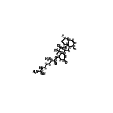 CCC(C)(C)C(=O)O[C@@H]1C[C@H](C)C=C2C=C[C@@H](C)[C@@H](CC[C@@H]3C[C@H](OC(=O)[C@@H](N)CCCNC(=N)N)CC(=O)O3)[C@@H]21